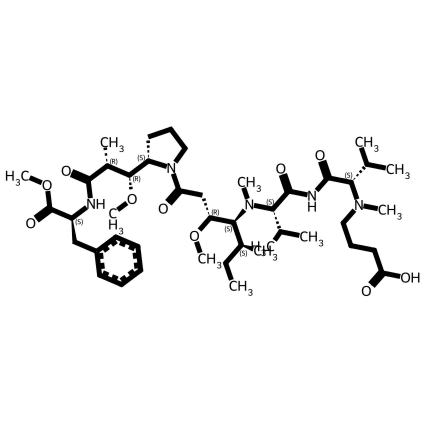 CC[C@H](C)[C@@H]([C@@H](CC(=O)N1CCC[C@H]1[C@H](OC)[C@@H](C)C(=O)N[C@@H](Cc1ccccc1)C(=O)OC)OC)N(C)[C@H](C(=O)NC(=O)[C@H](C(C)C)N(C)CCCC(=O)O)C(C)C